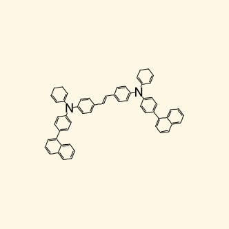 C1=CC(N(c2ccc(/C=C/c3ccc(N(C4=CCCC=C4)c4ccc(-c5cccc6ccccc56)cc4)cc3)cc2)c2ccc(-c3cccc4ccccc34)cc2)=CCC1